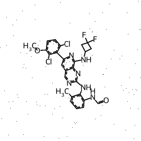 COc1ccc(Cl)c(-c2cc3cnc(Nc4c(C)cccc4NC=O)nc3c(NC3CC(F)(F)C3)n2)c1Cl